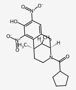 C[C@H]1[C@H]2Cc3cc([N+](=O)[O-])c(O)c([N+](=O)[O-])c3[C@]1(C)CCN2C(=O)C1CCCC1